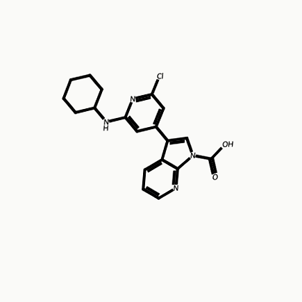 O=C(O)n1cc(-c2cc(Cl)nc(NC3CCCCC3)c2)c2cccnc21